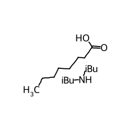 CCC(C)NC(C)CC.CCCCCCCC(=O)O